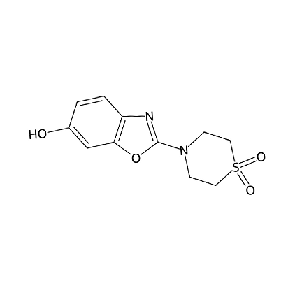 O=S1(=O)CCN(c2nc3ccc(O)cc3o2)CC1